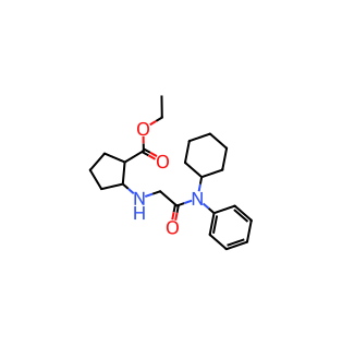 CCOC(=O)C1CCCC1NCC(=O)N(c1ccccc1)C1CCCCC1